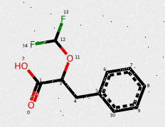 O=C(O)C(Cc1ccccc1)OC(F)F